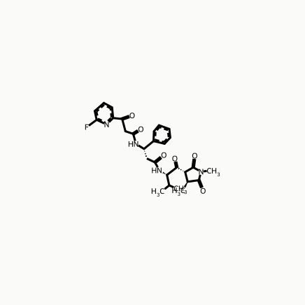 CC(C)[C@H](NC(=O)C[C@H](NC(=O)CC(=O)c1cccc(F)n1)c1ccccc1)C(=O)[C@@H]1C(=O)N(C)C(=O)[C@H]1C